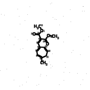 COC(=O)C(=CC1=CC=C(C)CC=C1)C(=O)OC